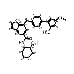 Cc1nn(C)cc1-c1ccc(Cc2cc(C(=O)N[C@H]3CCCC[C@@H]3O)nc3ccsc23)cc1